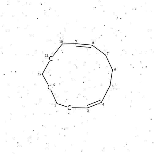 [CH]1CCC=CCCCC=CCCC1